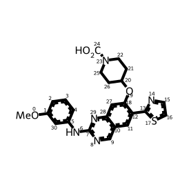 COc1cccc(Nc2ncc3cc(-c4nccs4)c(OC4CCN(C(=O)O)CC4)cc3n2)c1